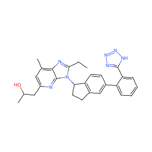 CCc1nc2c(C)cc(CC(C)O)nc2n1C1CCc2cc(-c3ccccc3-c3nnn[nH]3)ccc21